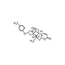 Cc1ccc(OC2C[C@H]3[C@@H]4C(C)CC5OC(=O)C=C[C@]5(C)[C@@H]4CC[C@]3(C)C2)cc1